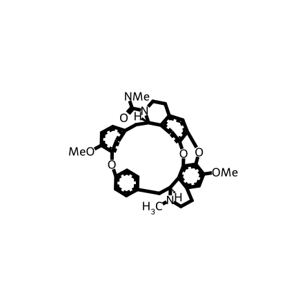 CNC(=O)N1CCc2cc3c4cc2[C@@H]1Cc1ccc(OC)c(c1)Oc1ccc(cc1)C[C@H]1c2c(cc(OC)c(c2O4)O3)CCN1C